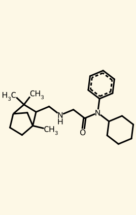 CC12CCC(C1)C(C)(C)C2CNCC(=O)N(c1ccccc1)C1CCCCC1